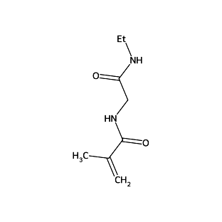 C=C(C)C(=O)NCC(=O)NCC